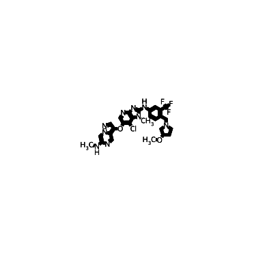 CNc1cn2ncc(Oc3cnc4nc(Nc5ccc(CN6CCC(OC)C6)c(C(F)(F)F)c5)n(C)c4c3Cl)c2cn1